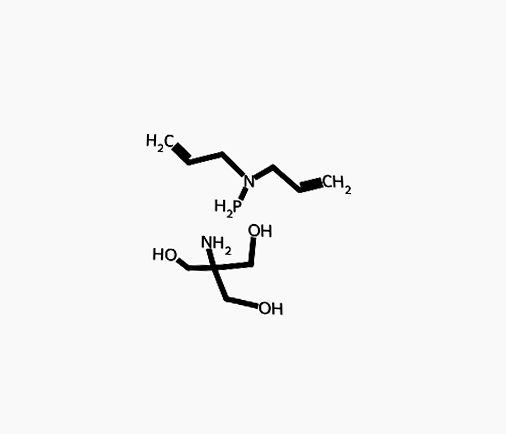 C=CCN(P)CC=C.NC(CO)(CO)CO